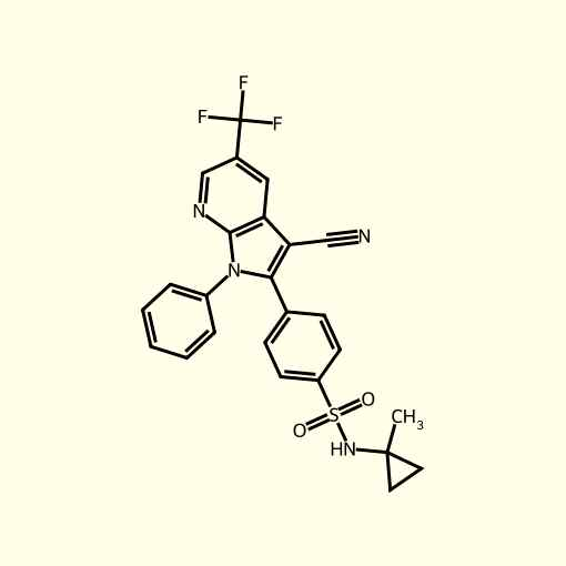 CC1(NS(=O)(=O)c2ccc(-c3c(C#N)c4cc(C(F)(F)F)cnc4n3-c3ccccc3)cc2)CC1